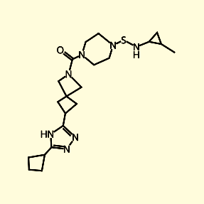 CC1CC1NSN1CCN(C(=O)N2CC3(CC(c4nnc(C5CCC5)[nH]4)C3)C2)CC1